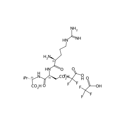 CC(C)[C@H](NC(=O)[C@H](CC(=O)O)NC(=O)[C@@H](N)CCCNC(=N)N)C(=O)O.O=C(O)C(F)(F)F.O=C(O)C(F)(F)F